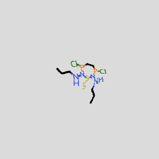 CCCNN1P(Cl)CCP(Cl)N(NCCC)S1=S